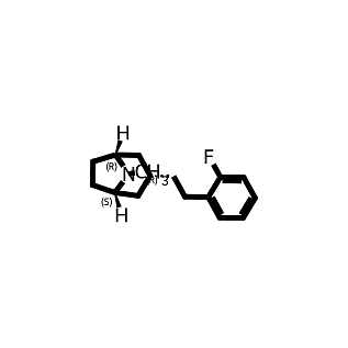 CN1[C@@H]2CC[C@H]1C[C@@H](CCc1ccccc1F)C2